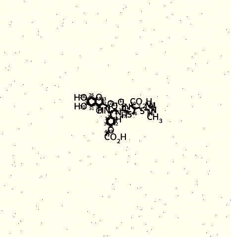 Cn1nnnc1SCC1=C(C(=O)O)N2C(=O)[C@@H](NC(=O)C(NC(=O)c3coc4cc(O)c(O)cc4c3=O)c3ccc(OCC(=O)O)cc3)[C@H]2SC1